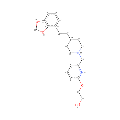 OCCOc1cccc(CN2CCC(CCc3cccc4c3OCO4)CC2)n1